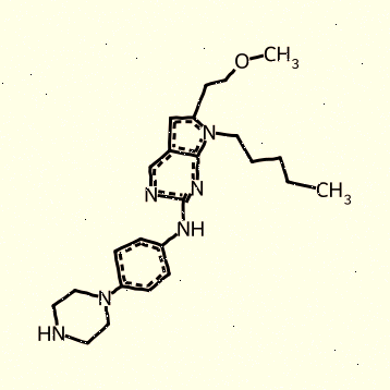 CCCCCn1c(CCOC)cc2cnc(Nc3ccc(N4CCNCC4)cc3)nc21